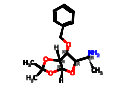 C[C@@H](N)[C@H]1O[C@@H]2OC(C)(C)O[C@@H]2[C@H]1OCc1ccccc1